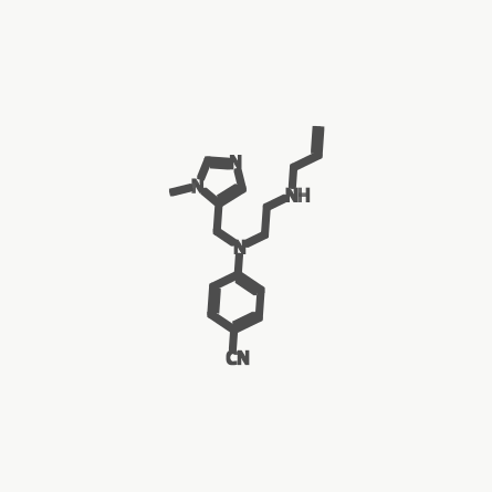 C=CCNCCN(Cc1cncn1C)c1ccc(C#N)cc1